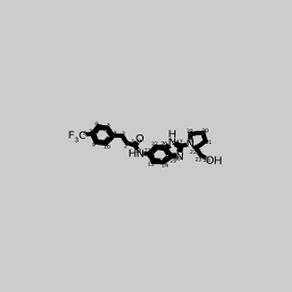 O=C(CCc1ccc(C(F)(F)F)cc1)Nc1ccc2nc(N3CCCC3CO)[nH]c2c1